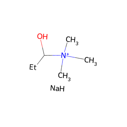 CCC(O)[N+](C)(C)C.[NaH]